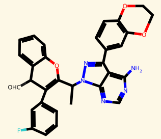 CC(C1=C(c2cccc(F)c2)C(C=O)c2ccccc2O1)n1nc(-c2ccc3c(c2)OCCO3)c2c(N)ncnc21